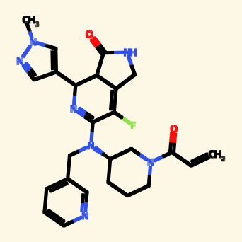 C=CC(=O)N1CCC[C@@H](N(Cc2cccnc2)C2=NC(c3cnn(C)c3)C3C(=O)NCC3=C2F)C1